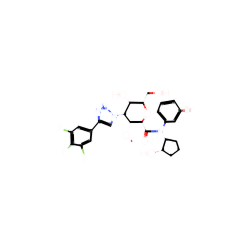 CO[C@@H]1[C@@H](n2cc(-c3cc(F)c(F)c(F)c3)nn2)[C@@H](O)[C@@H](CO)O[C@H]1C(=O)N(c1cccc(Br)c1)[C@@H]1CCC[C@H]1O